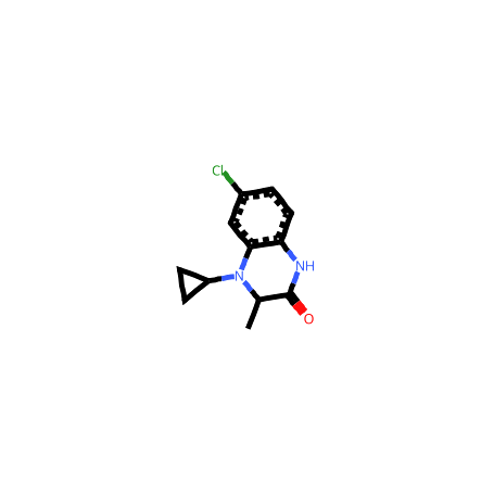 CC1C(=O)Nc2ccc(Cl)cc2N1C1CC1